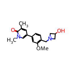 COc1cc(-c2cc(C)c(=O)n(C)c2)ccc1CN1CC(O)C1